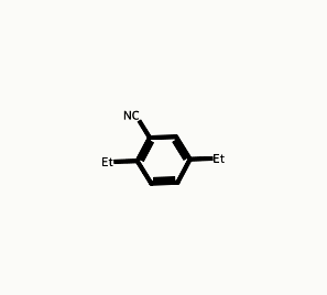 [CH2]Cc1ccc(C[CH2])c(C#N)c1